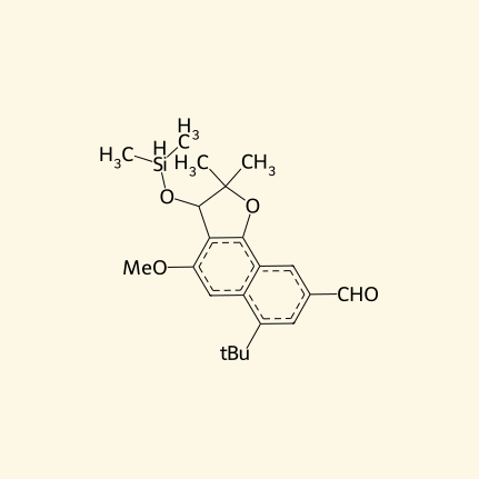 COc1cc2c(C(C)(C)C)cc(C=O)cc2c2c1C(O[SiH](C)C)C(C)(C)O2